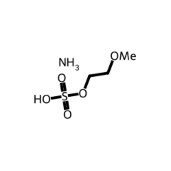 COCCOS(=O)(=O)O.N